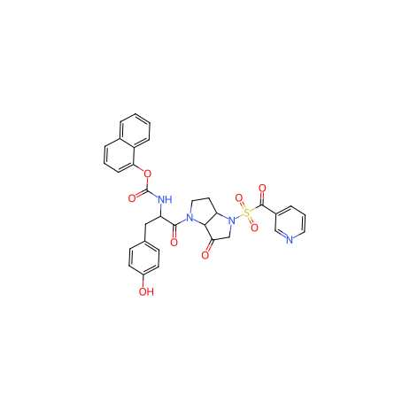 O=C(NC(Cc1ccc(O)cc1)C(=O)N1CCC2C1C(=O)CN2S(=O)(=O)C(=O)c1cccnc1)Oc1cccc2ccccc12